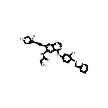 C=CC(=O)Nc1cc2c(Nc3ccc(OCc4ccccn4)c(Cl)c3)ncnc2cc1C#CC1C2CNC[C@@H]12